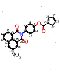 O=C(Oc1ccc(N2C(=O)c3cccc4cc([N+](=O)[O-])cc(c34)C2=O)cc1)C1=CC=CC1